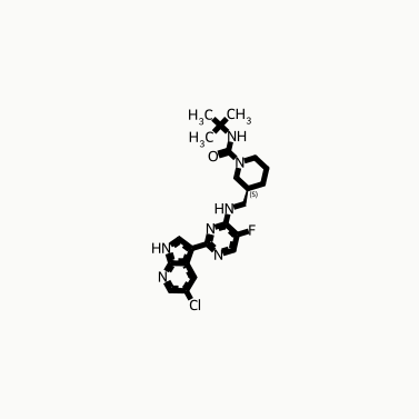 CC(C)(C)NC(=O)N1CCC[C@@H](CNc2nc(-c3c[nH]c4ncc(Cl)cc34)ncc2F)C1